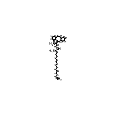 C=C(CCCCCCCCCCCCCCN)NCCC(=C)N1Cc2ccccc2/C=C\c2ccccc21